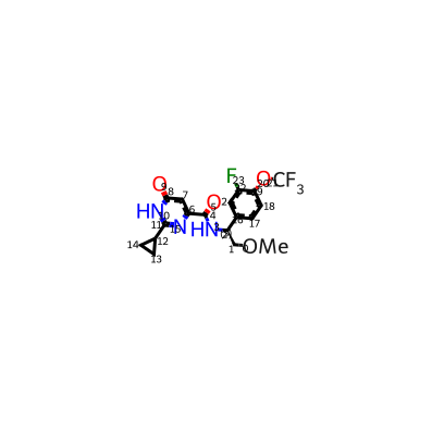 COC[C@@H](NC(=O)c1cc(=O)[nH]c(C2CC2)n1)c1ccc(OC(F)(F)F)c(F)c1